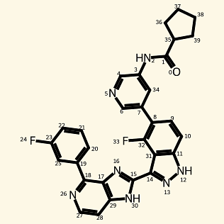 O=C(Nc1cncc(-c2ccc3[nH]nc(-c4nc5c(-c6cccc(F)c6)nccc5[nH]4)c3c2F)c1)C1CCCC1